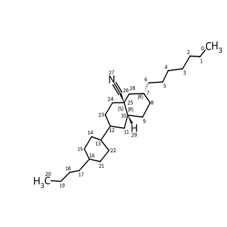 CCCCCCC[C@@H]1CC[C@@H]2CC(C3CCC(CCCC)CC3)CC[C@]2(C#N)C1